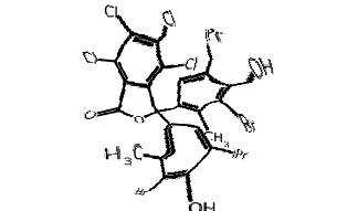 Cc1c(C2(c3cc(C(C)C)c(O)c(Br)c3C)OC(=O)c3c(Cl)c(Cl)c(Cl)c(Cl)c32)cc(C(C)C)c(O)c1Br